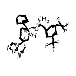 C[C@@H](OC[C@@]1(c2ccccc2)CC[C@](CC#N)(n2cnnc2)CN1)c1cc(C(F)(F)F)cc(C(F)(F)F)c1